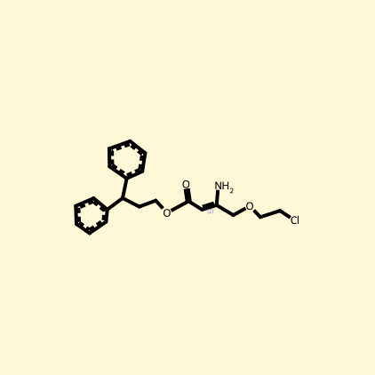 N/C(=C\C(=O)OCCC(c1ccccc1)c1ccccc1)COCCCl